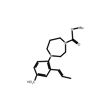 CC=Cc1cc(C(=O)O)ccc1N1CCCN(C(=O)OC(C)(C)C)CC1